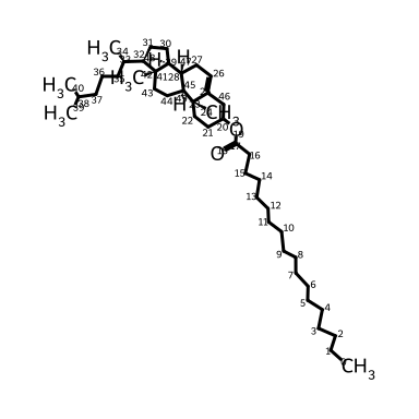 CCCCCCCCCCCCCCCCCC(=O)OC1CC[C@@]2(C)C(=CC[C@H]3[C@@H]4CC[C@H]([C@H](C)CCCC(C)C)[C@@]4(C)CC[C@@H]32)C1